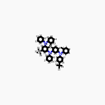 Cc1ccccc1N(c1ccc(C(C)(C)C)cc1)c1ccc2c(c1)N(c1ccccc1)c1cc([Si](C)(C)C)cc3c1B2c1ccccc1N3c1ccccc1